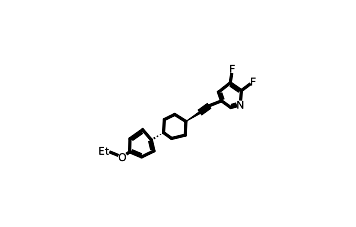 CCOc1ccc([C@H]2CC[C@H](C#Cc3cnc(F)c(F)c3)CC2)cc1